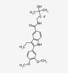 CCc1c(-c2ccc(OC)c(OC)c2)[nH]c2ccc(C(=O)NC[C@@H](F)C(C)(C)O)cc12